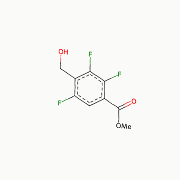 COC(=O)c1cc(F)c(CO)c(F)c1F